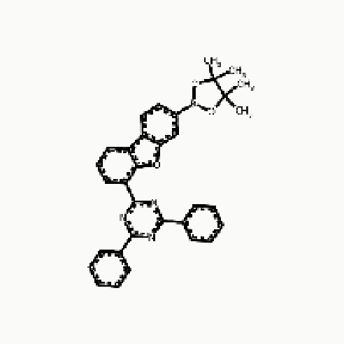 CC1(C)OB(c2ccc3c(c2)oc2c(-c4nc(-c5ccccc5)nc(-c5ccccc5)n4)cccc23)OC1(C)C